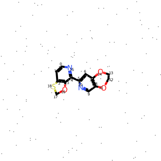 [c]1cc2c(c(-c3cc4c(cn3)OCCO4)n1)OCS2